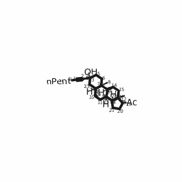 CCCCCC#C[C@@]1(O)CC[C@@]2(C)[C@H](CC[C@@H]3[C@@H]2CC[C@]2(C)[C@@H](C(C)=O)CC[C@@H]32)C1